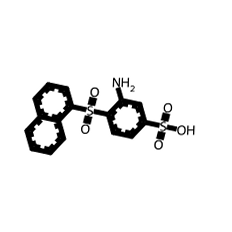 Nc1cc(S(=O)(=O)O)ccc1S(=O)(=O)c1cccc2ccccc12